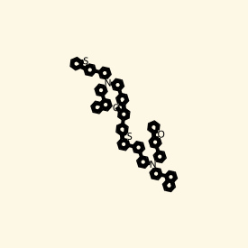 c1cc(-c2cccc(N(c3cccc(-c4ccc5c(c4)oc4ccccc45)c3)c3cccc(-c4cccc5ccccc45)c3)c2)cc(-c2cccc3c2sc2cc(-c4ccc5c(c4)oc4cc(-c6cccc(N(c7cccc(-c8ccc9c(c8)sc8ccccc89)c7)c7cccc(-c8cccc9ccccc89)c7)c6)ccc45)ccc23)c1